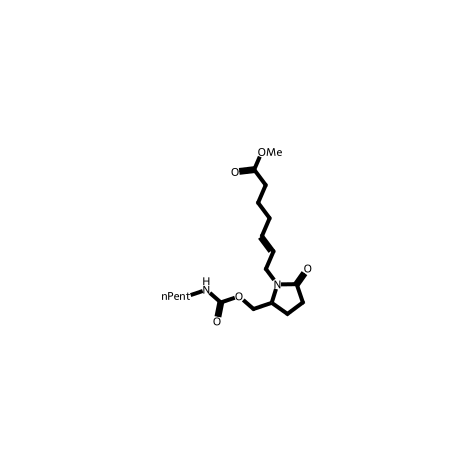 CCCCCNC(=O)OCC1CCC(=O)N1CC=CCCCC(=O)OC